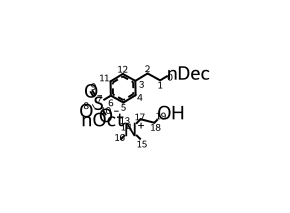 CCCCCCCCCCCCc1ccc(S(=O)(=O)[O-])cc1.CCCCCCCC[N+](C)(C)CCO